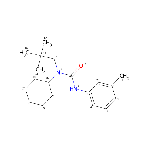 Cc1cccc(NC(=O)N(CC(C)(C)C)C2CCCCC2)c1